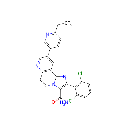 NC(=O)c1c(-c2c(Cl)cccc2Cl)nc2c3cc(-c4ccc(CC(F)(F)F)nc4)cnc3ccn12